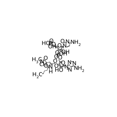 C=CCCC(=O)N[C@@H](CCC(=O)N(C)C)C(=O)O[C@H]1[C@@H](O)[C@H](n2cnc3c(N)ncnc32)O[C@@H]1COP(=O)(O)O[C@H]1[C@@H](O)[C@H](n2ccc(N)nc2=O)O[C@@H]1COP(=O)(O)O